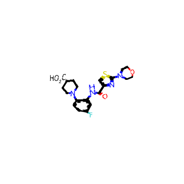 O=C(Nc1cc(F)ccc1N1CCC(C(=O)O)CC1)c1csc(N2CCOCC2)n1